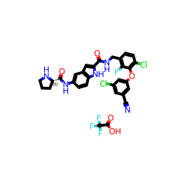 N#Cc1cc(Cl)cc(Oc2c(Cl)ccc(CNC(=O)c3cc4cc(NC(=O)[C@@H]5CCCN5)ccc4[nH]3)c2F)c1.O=C(O)C(F)(F)F